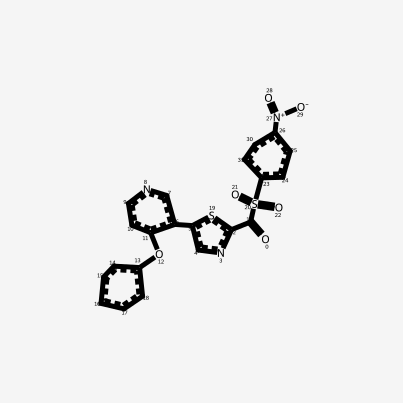 O=C(c1ncc(-c2cnccc2Oc2ccccc2)s1)S(=O)(=O)c1ccc([N+](=O)[O-])cc1